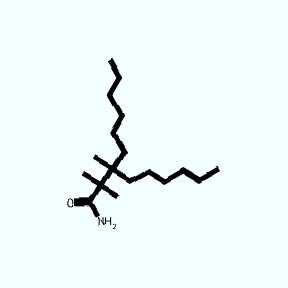 CCCCCCC(C)(CCCCCC)C(C)(C)C(N)=O